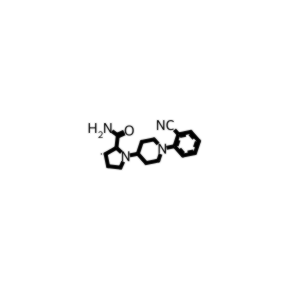 N#Cc1ccccc1N1CCC(N2CC[CH]C2C(N)=O)CC1